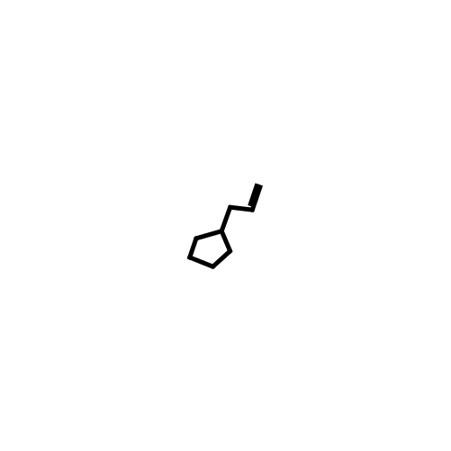 C=CCC1CCCC1